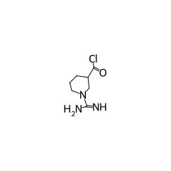 N=C(N)N1CCCC(C(=O)Cl)C1